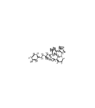 COc1ccccc1-n1c(SCCCCc2ccccc2)nnc1-c1cscn1